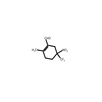 CC1=C(C=O)CC([N+](=O)[O-])(C(F)(F)F)CC1